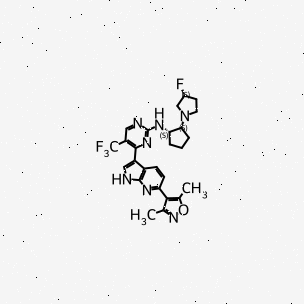 Cc1noc(C)c1-c1ccc2c(-c3nc(N[C@H]4CCC[C@@H]4N4CC[C@H](F)C4)ncc3C(F)(F)F)c[nH]c2n1